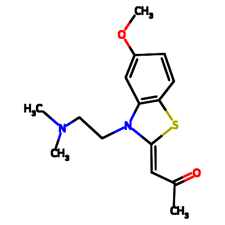 COc1ccc2c(c1)N(CCN(C)C)/C(=C/C(C)=O)S2